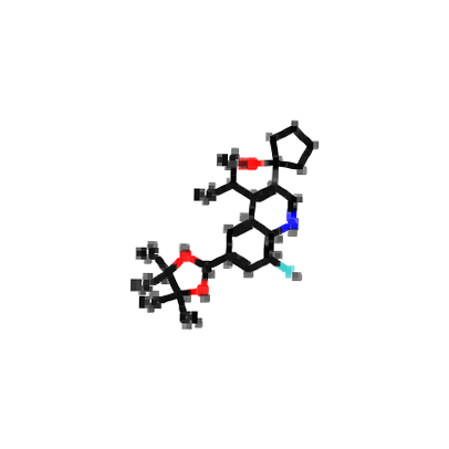 CC(C)c1c(C2(O)CCCC2)cnc2c(F)cc(B3OC(C)(C)C(C)(C)O3)cc12